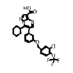 O=C(O)c1cnn2c(C3CCCCC3)c(-c3cccc(OCc4ccc(OC(F)(F)F)c(Cl)c4)c3)cnc12